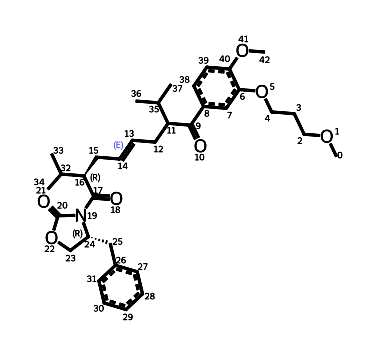 COCCCOc1cc(C(=O)C(C/C=C/C[C@@H](C(=O)N2C(=O)OC[C@H]2Cc2ccccc2)C(C)C)C(C)C)ccc1OC